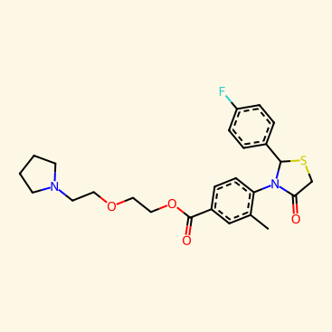 Cc1cc(C(=O)OCCOCCN2CCCC2)ccc1N1C(=O)CSC1c1ccc(F)cc1